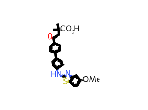 COc1ccc2sc(Nc3ccc(-c4ccc(C(=O)CC(C)(C)C(=O)O)cc4)cc3)nc2c1